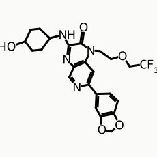 O=c1c(NC2CCC(O)CC2)nc2cnc(-c3ccc4c(c3)OCO4)cc2n1CCOCC(F)(F)F